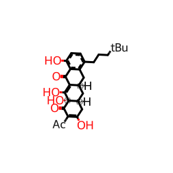 CC(=O)C1=C(O)C[C@@H]2C[C@@H]3Cc4c(CCCC(C)(C)C)ccc(O)c4C(=O)C3=C(O)[C@]2(O)C1=O